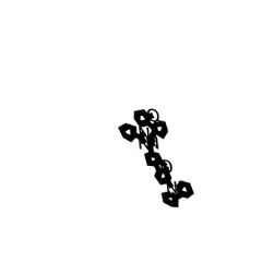 c1ccc(-c2nc(-c3ccc4c(c3)oc3cc(-n5c6ccccc6c6ccccc65)ccc34)nc(-c3cccc4oc5ccccc5c34)n2)cc1